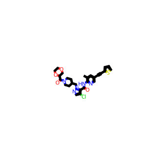 Cc1cc(C#Cc2cccs2)cnc1NC(=O)c1c(Cl)cnn1CC1CCN(C(=O)C2COCCO2)CC1